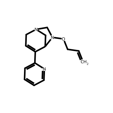 C=CCON1CN2CC=C(c3ccccn3)C1C2